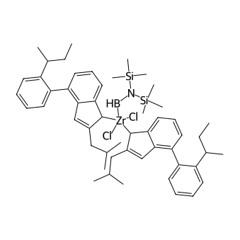 CCC(C)c1ccccc1-c1cccc2c1C=C(CC(C)C)[CH]2[Zr]([Cl])([Cl])([BH]N([Si](C)(C)C)[Si](C)(C)C)[CH]1C(CC(C)C)=Cc2c(-c3ccccc3C(C)CC)cccc21